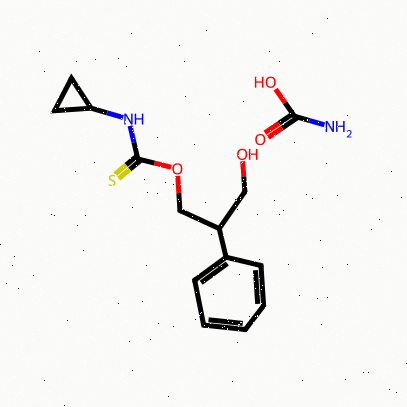 NC(=O)O.OCC(COC(=S)NC1CC1)c1ccccc1